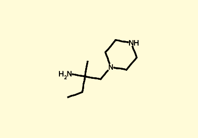 CCC(C)(N)CN1CCNCC1